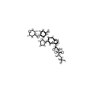 CN(CC(C)(C)F)S(=O)(=O)NC(=O)c1cnc2ccc(N3CCC[C@@H]3c3cc(F)ccc3OC3CCOCC3)cn12